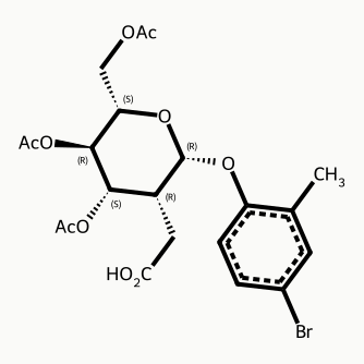 CC(=O)OC[C@@H]1O[C@H](Oc2ccc(Br)cc2C)[C@H](CC(=O)O)[C@H](OC(C)=O)[C@H]1OC(C)=O